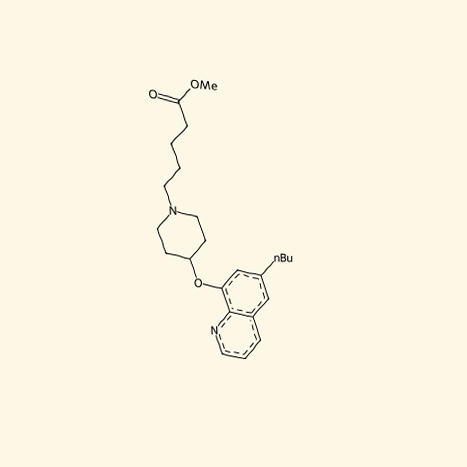 CCCCc1cc(OC2CCN(CCCCC(=O)OC)CC2)c2ncccc2c1